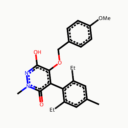 CCc1cc(C)cc(CC)c1-c1c(OCc2ccc(OC)cc2)c(O)nn(C)c1=O